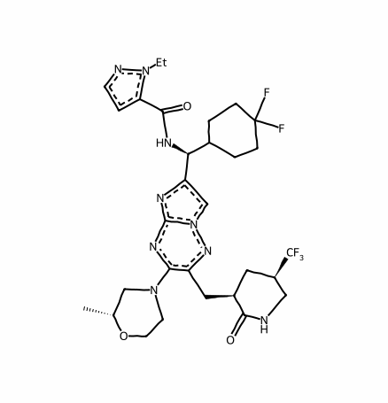 CCn1nccc1C(=O)N[C@H](c1cn2nc(C[C@H]3C[C@@H](C(F)(F)F)CNC3=O)c(N3CCO[C@H](C)C3)nc2n1)C1CCC(F)(F)CC1